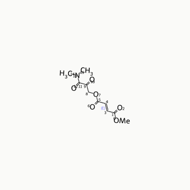 COC(=O)/C=C/C(=O)OCC(=O)C(=O)N(C)C